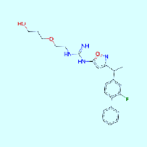 CC(c1ccc(-c2ccccc2)c(F)c1)c1cc(NC(=N)NCCOCCCO)on1